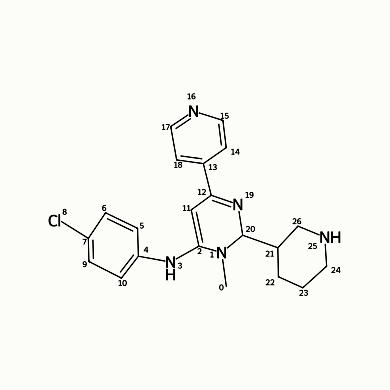 CN1C(Nc2ccc(Cl)cc2)=CC(c2ccncc2)=NC1C1CCCNC1